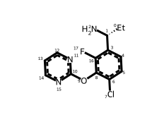 CC[C@@H](N)c1ccc(Cl)c(Oc2ncccn2)c1F